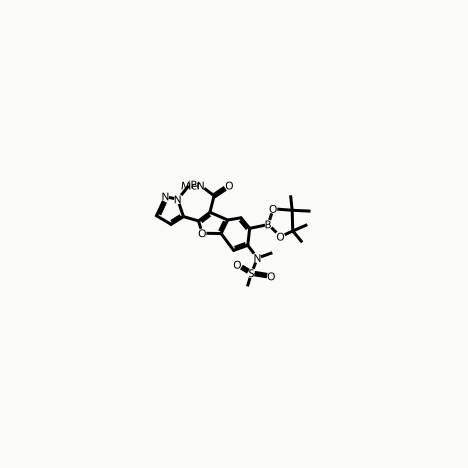 CNC(=O)c1c(-c2ccnn2C(C)C)oc2cc(N(C)S(C)(=O)=O)c(B3OC(C)(C)C(C)(C)O3)cc12